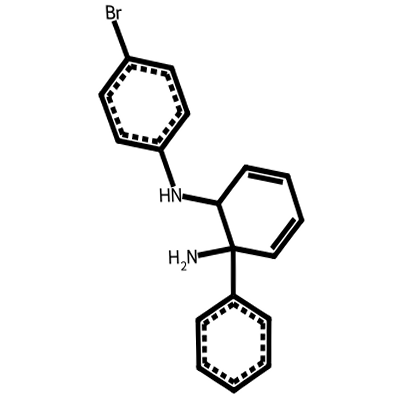 NC1(c2ccccc2)C=CC=CC1Nc1ccc(Br)cc1